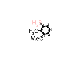 Bc1cccc(OC)c1C(F)(F)F